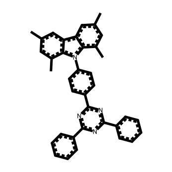 Cc1cc(C)c2c(c1)c1cc(C)cc(C)c1n2-c1ccc(-c2nc(-c3ccccc3)nc(-c3ccccc3)n2)cc1